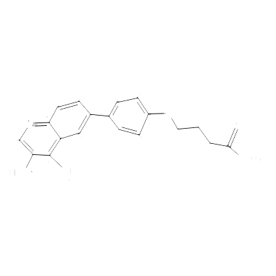 C=C(CCCCC)CCCOc1ccc(-c2ccc3ncc(C)c(C)c3c2)cc1